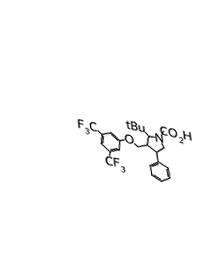 CC(C)(C)C1C(COc2cc(C(F)(F)F)cc(C(F)(F)F)c2)C(c2ccccc2)CN1C(=O)O